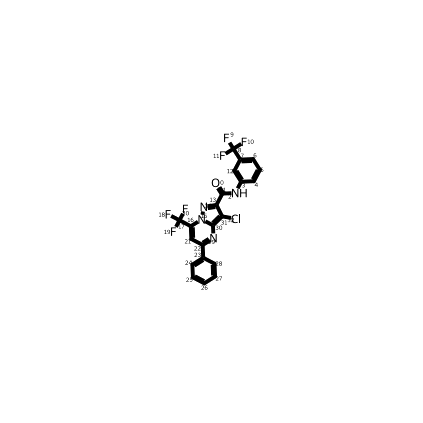 O=C(Nc1cccc(C(F)(F)F)c1)c1nn2c(C(F)(F)F)cc(-c3ccccc3)nc2c1Cl